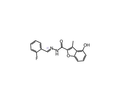 Cc1c(C(=O)N/N=C/c2ccccc2F)oc2cccc(O)c12